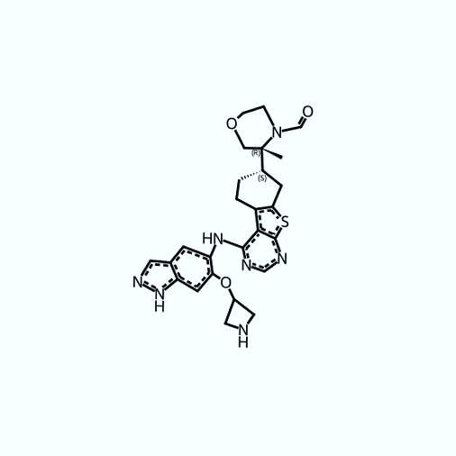 C[C@@]1([C@H]2CCc3c(sc4ncnc(Nc5cc6cn[nH]c6cc5OC5CNC5)c34)C2)COCCN1C=O